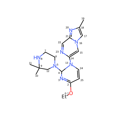 CCOC1=NC(N2CCNC(C)(C)C2)N(c2cn3cc(C)nc3cn2)C=C1